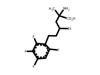 CCC(CCc1c(F)cc(F)c(F)c1F)CC(C)(N)C(=O)O